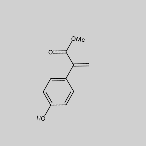 C=C(C(=O)OC)c1ccc(O)cc1